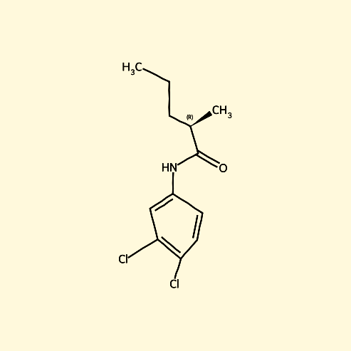 CCC[C@@H](C)C(=O)Nc1ccc(Cl)c(Cl)c1